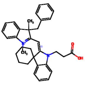 C[N+]1=C(/C=C2/N(CCC(=O)O)c3ccccc3C23CCCCC3)C(C)(Cc2ccccc2)c2ccccc21